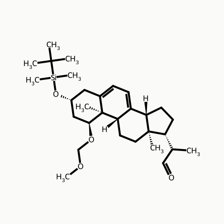 COCO[C@H]1C[C@H](O[Si](C)(C)C(C)(C)C)CC2=CC=C3[C@@H]4CC[C@H](C(C)C=O)[C@@]4(C)CC[C@@H]3[C@]21C